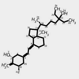 C=C1[C@H](O)C/C(=C\C=C2/CCC[C@@]3(C)C2CCC3[C@@H](C)CCCC(O)(CC)CC)C[C@H]1I